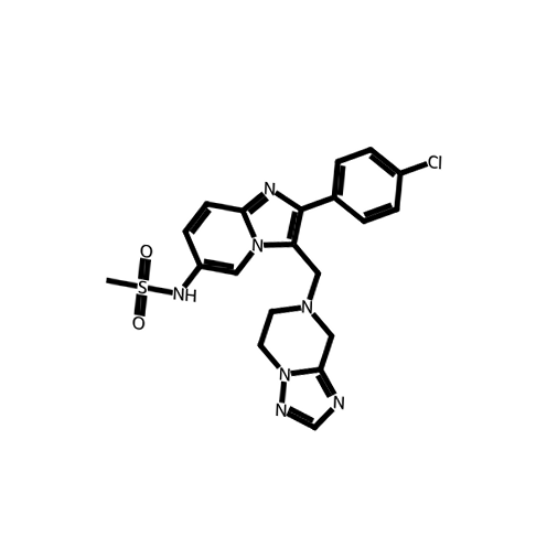 CS(=O)(=O)Nc1ccc2nc(-c3ccc(Cl)cc3)c(CN3CCn4ncnc4C3)n2c1